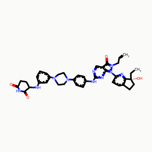 C=CCn1c(=O)c2cnc(Nc3ccc(N4CCN(c5cccc(NC6CCC(=O)NC6=O)c5)CC4)cc3)nc2n1-c1ccc2c(n1)[C@@](O)(CC)CC2